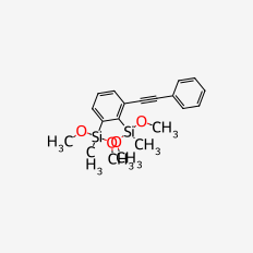 CO[Si](C)(OC)c1cccc(C#Cc2ccccc2)c1[Si](C)(OC)OC